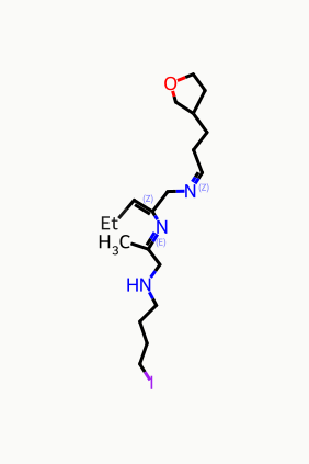 CC/C=C(C/N=C\CCC1CCOC1)\N=C(/C)CNCCCCI